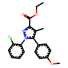 CCOC(=O)c1nn(-c2ccccc2Cl)c(-c2ccc(OC)cc2)c1C